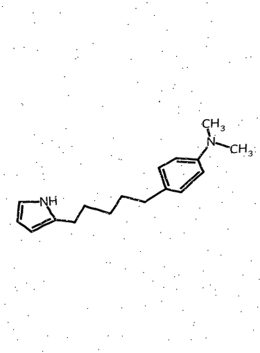 CN(C)c1ccc(CCCCCc2ccc[nH]2)cc1